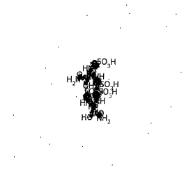 NC(=O)CCN(CCO)c1nc(Nc2ccc(S(=O)(=O)O)cc2)nc(Nc2ccc(C=Cc3ccc(Nc4nc(Nc5ccc(S(=O)(=O)O)cc5)nc(N(CCO)CCC(N)=O)n4)cc3S(=O)(=O)O)c(S(=O)(=O)O)c2)n1